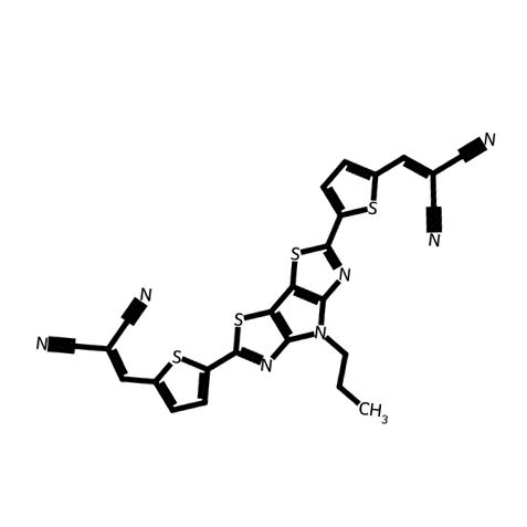 CCCn1c2nc(-c3ccc(C=C(C#N)C#N)s3)sc2c2sc(-c3ccc(C=C(C#N)C#N)s3)nc21